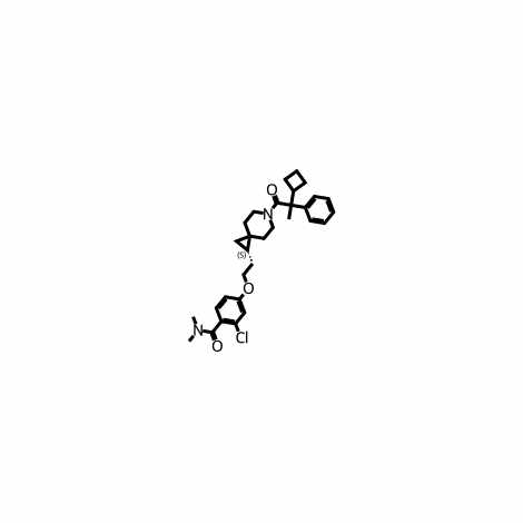 CN(C)C(=O)c1ccc(OCC[C@@H]2CC23CCN(C(=O)C(C)(c2ccccc2)C2CCC2)CC3)cc1Cl